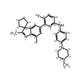 CC1=Nc2c(F)cc(-c3nc(Nc4ccc(N5CCN(C)CC5)cn4)ncc3F)cc2C12CCCC2